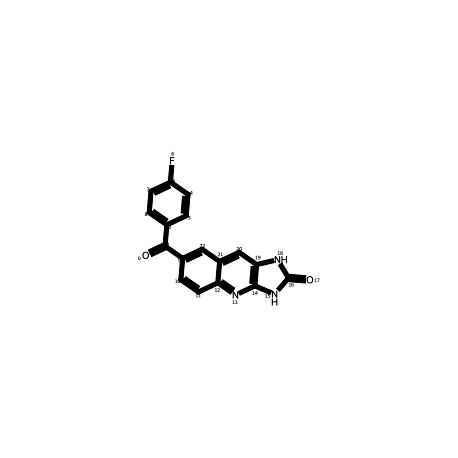 O=C(c1ccc(F)cc1)c1ccc2nc3[nH]c(=O)[nH]c3cc2c1